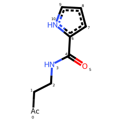 CC(=O)CCNC(=O)c1ccc[nH]1